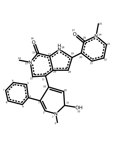 CN1C=C(c2ccccc2)C(c2cn(C)c(=O)c3[nH]c(-c4cccn(C)c4=O)cc23)=CC1O